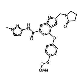 COOSc1ccc(Oc2cc(C(=O)Nc3ccn(C)n3)cc3oc(CN4CCCC4=O)cc23)cc1